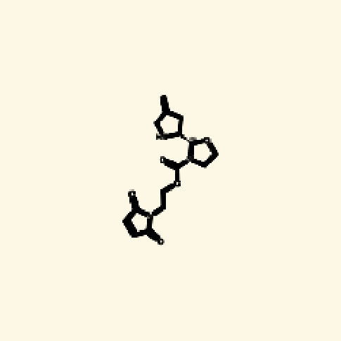 C=C1CNC([C@@H]2OCCN2C(=O)OCCN2C(=O)C=CC2=O)C1